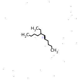 [CH2]CCC/C=C/C(CC)CCC[CH2]